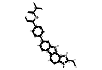 C=C(N/C(=C\C)c1ccc(-c2ccc3c(c2)sc2c3ccc3[nH]c(CC)nc32)cc1)C(C)C